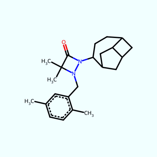 Cc1ccc(C)c(CN2N(C3CCC4CC5CC3CC45)C(=O)C2(C)C)c1